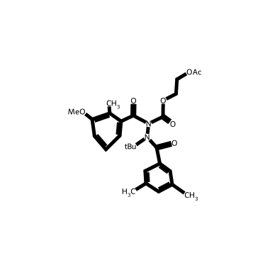 COc1cccc(C(=O)N(C(=O)OCCOC(C)=O)N(C(=O)c2cc(C)cc(C)c2)C(C)(C)C)c1C